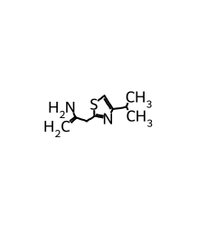 C=C(N)Cc1nc(C(C)C)cs1